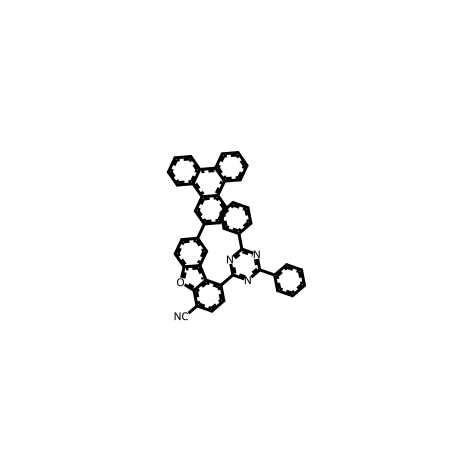 N#Cc1ccc(-c2nc(-c3ccccc3)nc(-c3ccccc3)n2)c2c1oc1ccc(-c3ccc4c5ccccc5c5ccccc5c4c3)cc12